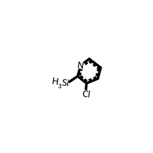 [SiH3]c1ncccc1Cl